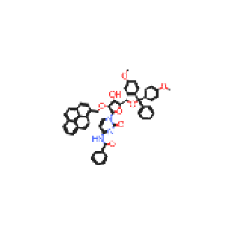 COc1ccc(C(OC[C@H]2O[C@@H](n3ccc(NC(=O)c4ccccc4)nc3=O)[C@H](OCc3ccc4ccc5cccc6ccc3c4c56)[C@@H]2O)(c2ccccc2)c2ccc(OC)cc2)cc1